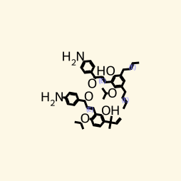 C/C=C/Cc1cc(C/C=C/C)c(OC(C)C)c(/C=C/C(=O)c2ccc(N)cc2)c1O.C=CC(C)(C)c1ccc(OC(C)C)c(/C=C/C(=O)c2ccc(N)cc2)c1O